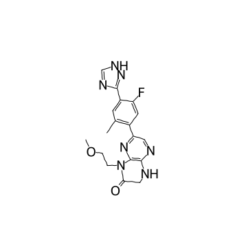 COCCN1C(=O)CNc2ncc(-c3cc(F)c(-c4nc[nH]n4)cc3C)nc21